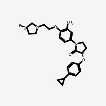 Cc1cc(N2CC[C@H](Oc3ccc(C4CC4)cc3)C2=O)ccc1OCCN1CC[C@@H](F)C1